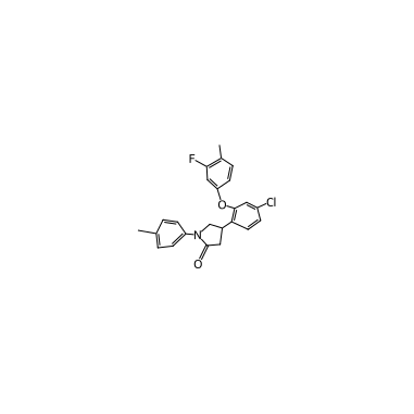 Cc1ccc(N2CC(c3ccc(Cl)cc3Oc3ccc(C)c(F)c3)CC2=O)cc1